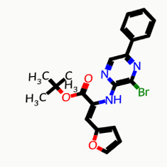 CC(C)(C)OC(=O)/C(=C/c1ccco1)Nc1ncc(-c2ccccc2)nc1Br